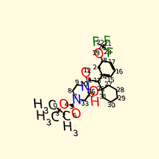 CC(C)(C)OC(=O)N1CCN(C(=O)C(C2=CC=CC(OC(F)(F)F)C2)C2(O)CCCCC2)CC1